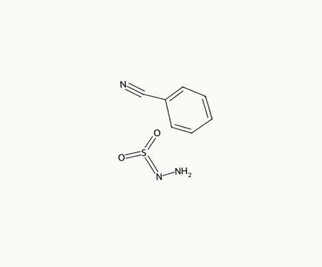 N#Cc1ccccc1.NN=S(=O)=O